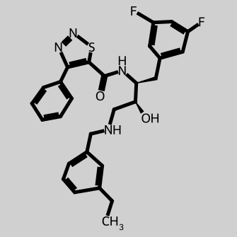 CCc1cccc(CNC[C@H](O)[C@H](Cc2cc(F)cc(F)c2)NC(=O)c2snnc2-c2ccccc2)c1